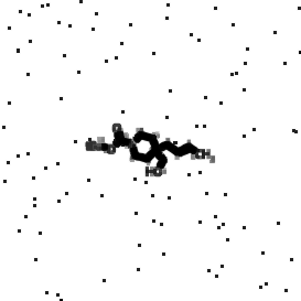 CC=CCC1(CO)CCN(C(=O)OC(C)(C)C)CC1